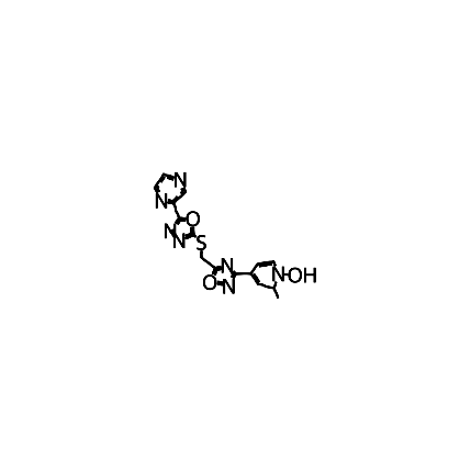 CC1C=C(c2noc(CSc3nnc(-c4cnccn4)o3)n2)C=CN1O